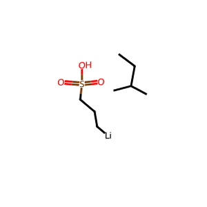 CCC(C)C.[Li][CH2]CCS(=O)(=O)O